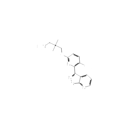 CC(C)(CN)COc1ccc(C(F)(F)F)c(-c2n[nH]c3ncccc23)n1